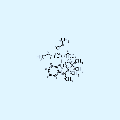 CCO[SiH](OCC)OCC.CN(c1ccccc1)[Si](C)(C)C(C)(C)C